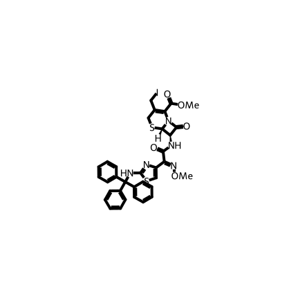 CON=C(C(=O)N[C@@H]1C(=O)N2C(C(=O)OC)=C(CI)CS[C@@H]12)c1csc(NC(c2ccccc2)(c2ccccc2)c2ccccc2)n1